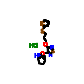 Cl.c1csc(SCCCOc2nsnc2OC2C3CCC2NC3)c1